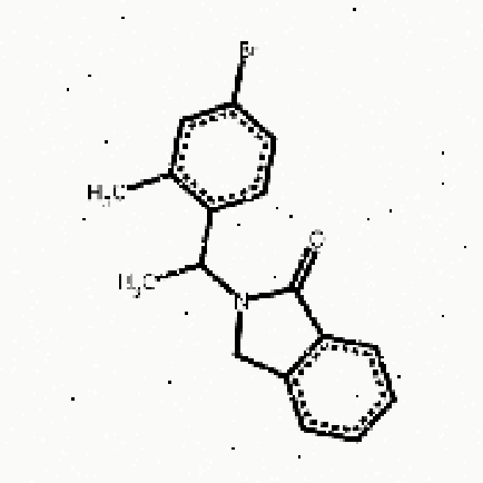 Cc1cc(Br)ccc1C(C)N1Cc2ccccc2C1=O